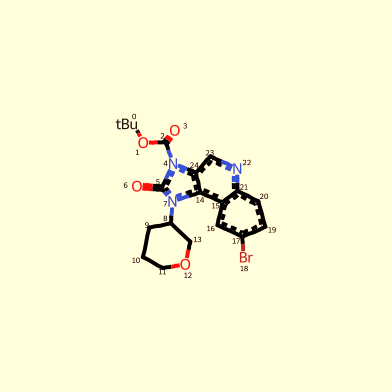 CC(C)(C)OC(=O)n1c(=O)n(C2CCCOC2)c2c3cc(Br)ccc3ncc21